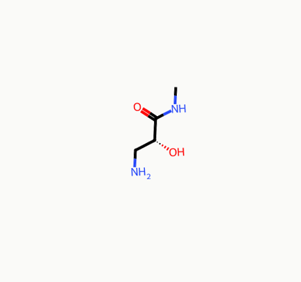 CNC(=O)[C@H](O)CN